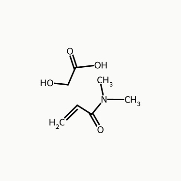 C=CC(=O)N(C)C.O=C(O)CO